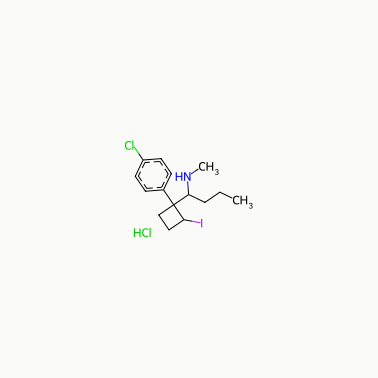 CCCC(NC)C1(c2ccc(Cl)cc2)CCC1I.Cl